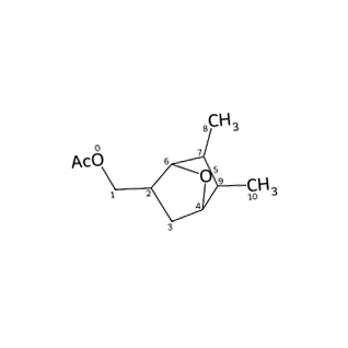 CC(=O)OCC1CC2OC1C(C)C2C